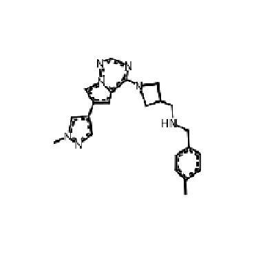 Cc1ccc(CNCC2CN(c3ncnn4cc(-c5cnn(C)c5)cc34)C2)cc1